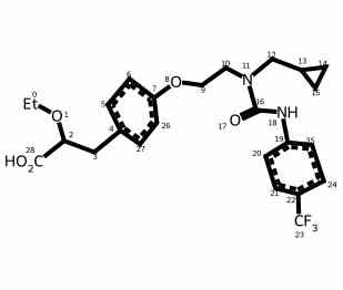 CCOC(Cc1ccc(OCCN(CC2CC2)C(=O)Nc2ccc(C(F)(F)F)cc2)cc1)C(=O)O